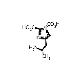 C[C@@H](N)Cc1cn(C(=O)O)c(C(=O)O)n1